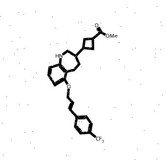 COC(=O)C1CC(C2CCc3c(cccc3OC/C=C/c3ccc(C(F)(F)F)cc3)NC2)C1